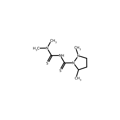 CC1CCN(C)N1C(=S)NC(=S)N(C)C